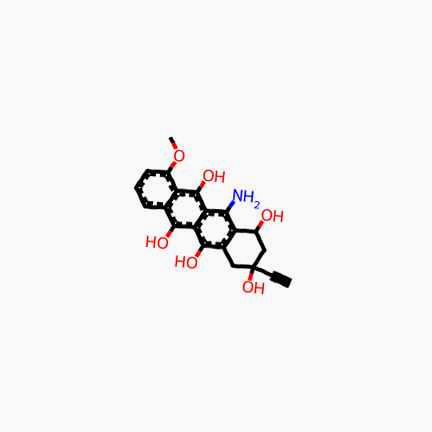 C#CC1(O)Cc2c(c(N)c3c(O)c4c(OC)cccc4c(O)c3c2O)C(O)C1